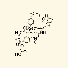 COc1ccc(S(=O)(=O)N(CC(C)C)C[C@@H](O)[C@H](CN(C)Cc2ccc(P(=O)(O)OCC(=O)O)cc2)NC(=O)O[C@H]2CO[C@H]3OCC[C@H]32)cc1